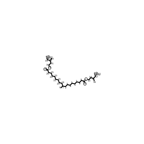 CC(CCCCCCCCC(=O)OCCC(C)CC(C)(C)C)CCCCCCCCC(=O)OCCC(C)CC(C)(C)C